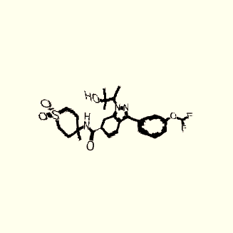 CC(n1nc(-c2cccc(OC(F)F)c2)c2c1C[C@H](C(=O)NC1(C)CCS(=O)(=O)CC1)CC2)C(C)(C)O